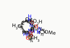 COc1ccc2ncc(O[C@@H]3C[C@H]4C(=O)N[C@]5(C(=O)NS(=O)(=O)C6(C)CC6)C[C@H]5C=C[C@H](C)CCC[C@@H](C)[C@H](NC(=O)O)C(=O)N4C3)nc2c1